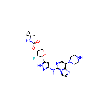 CC1(NC(=O)O[C@@H]2CO[C@H](c3cc(Nc4ncc(N5CCNCC5)c5nccn45)n[nH]3)[C@@H]2F)CC1